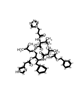 CC(C)CN(CC(OC(=O)Cc1c[nH]cn1)C(Cc1ccccc1)NC(=O)[C@@H](NC(=O)OCc1ccccc1)C(C)C)NC(=O)[C@@H](NC(=O)CCn1cnnn1)C(C)C